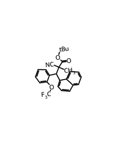 CC(C)(C)OC(=O)C(C)(C#N)C(c1ccccc1OC(F)(F)F)c1cccc2ccccc12